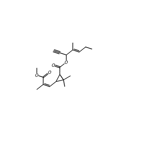 C#CC(OC(=O)C1C(C=C(C)C(=O)OC)C1(C)C)C(C)=CCC